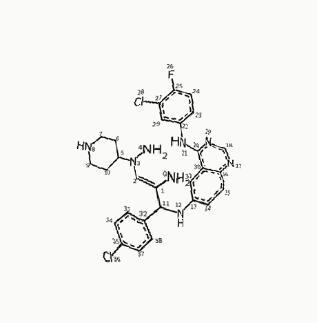 N/C(=C\N(N)C1CCNCC1)C(Nc1ccc2ncnc(Nc3ccc(F)c(Cl)c3)c2c1)c1ccc(Cl)cc1